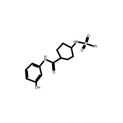 CC(C)S(=O)(=O)NC1CCC(C(=O)Nc2cccc(O)c2)CC1